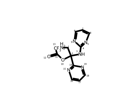 NCC(Nc1ncccn1)(OC(=O)C(F)(F)F)c1ncccn1